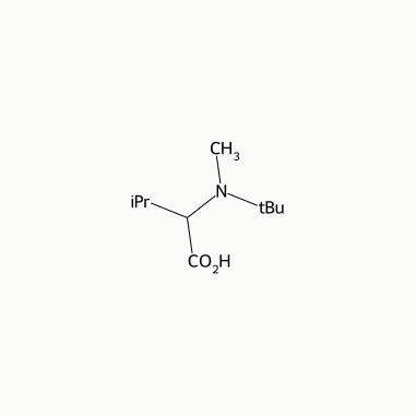 CC(C)C(C(=O)O)N(C)C(C)(C)C